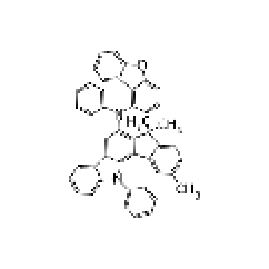 Cc1ccc2c(c1)-c1c(c(N(c3ccccc3)c3cccc4oc5ccccc5c34)cc3c4ccccc4n(-c4ccccc4)c13)C2(C)C